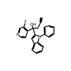 C#CCC(O)(c1ccncc1F)c1cc2ccccc2n1-c1ccccc1